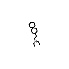 CCN(CC)CCC1CCC2(CCCCC2)CC1